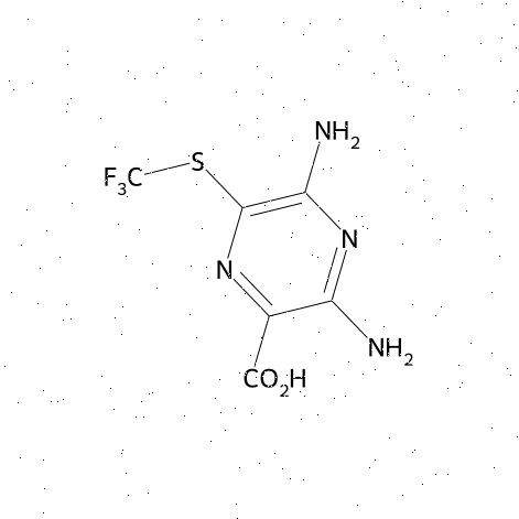 Nc1nc(N)c(C(=O)O)nc1SC(F)(F)F